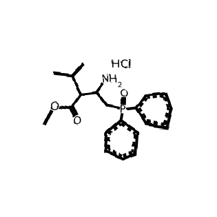 COC(=O)C(C(C)C)C(N)CP(=O)(c1ccccc1)c1ccccc1.Cl